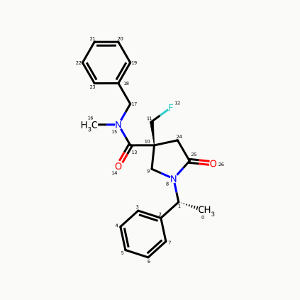 C[C@H](c1ccccc1)N1C[C@](CF)(C(=O)N(C)Cc2ccccc2)CC1=O